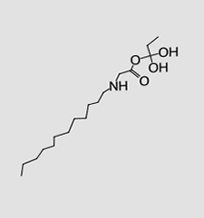 CCCCCCCCCCCCNCC(=O)OC(O)(O)CC